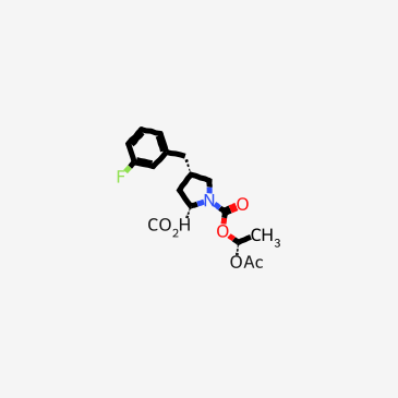 CC(=O)O[C@@H](C)OC(=O)N1C[C@@H](Cc2cccc(F)c2)C[C@H]1C(=O)O